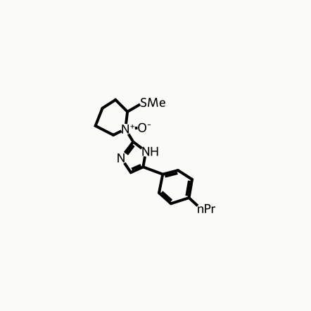 CCCc1ccc(-c2cnc([N+]3([O-])CCCCC3SC)[nH]2)cc1